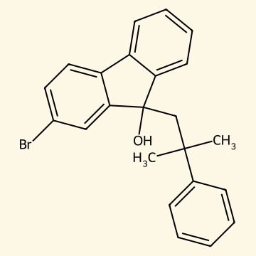 CC(C)(CC1(O)c2ccccc2-c2ccc(Br)cc21)c1ccccc1